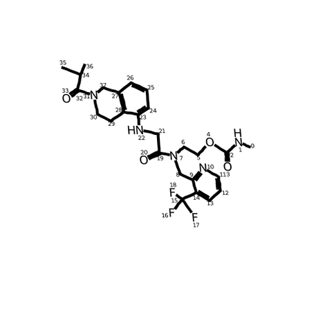 CNC(=O)OCCN(Cc1ncccc1C(F)(F)F)C(=O)CNc1cccc2c1CCN(C(=O)C(C)C)C2